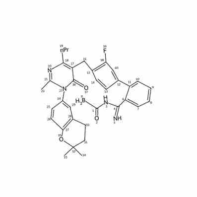 BC(=O)NC(=N)c1ccccc1-c1ccc(Cc2c(CCC)nc(C)n(-c3ccc4c(c3)CCC(C)(C)O4)c2=O)c(F)c1